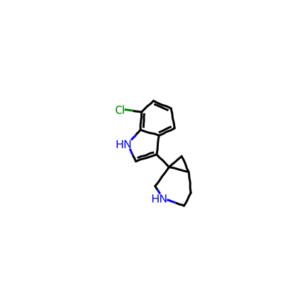 Clc1cccc2c(C34CNCCC3C4)c[nH]c12